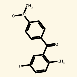 Cc1ccc(F)cc1C(=O)c1ccc([S+](C)[O-])cc1